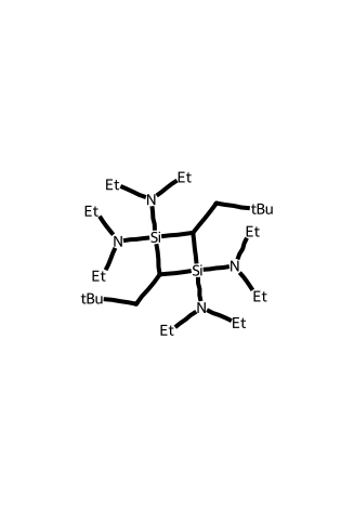 CCN(CC)[Si]1(N(CC)CC)C(CC(C)(C)C)[Si](N(CC)CC)(N(CC)CC)C1CC(C)(C)C